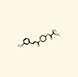 C=C(C)C(=O)OC1CCN(C(=O)/C=C/c2cccc([N+](=O)[O-])c2)CC1